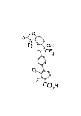 CCN1C(=O)COc2ccc(C(O)(C(C)c3ccc(-c4ccc(C(=O)O)c(F)c4Cl)cc3)C(F)(F)F)cc21